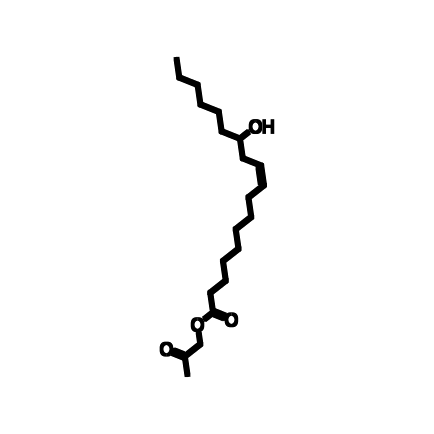 CCCCCCC(O)C/C=C\CCCCCCCC(=O)OCC(C)=O